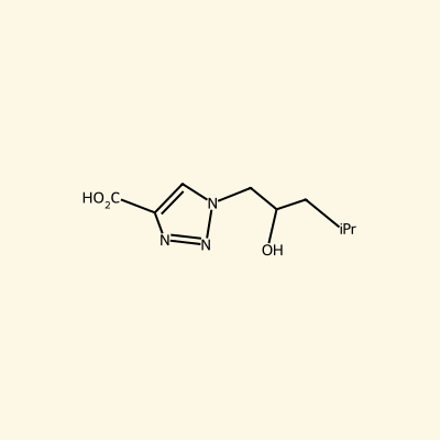 CC(C)CC(O)Cn1cc(C(=O)O)nn1